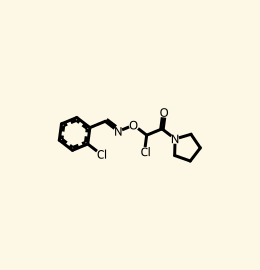 O=C(C(Cl)ON=Cc1ccccc1Cl)N1CCCC1